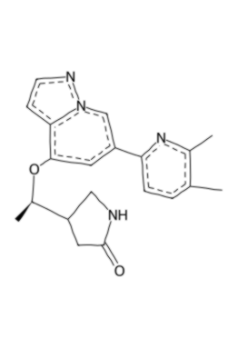 Cc1ccc(-c2cc(O[C@H](C)C3CNC(=O)C3)c3ccnn3c2)nc1C